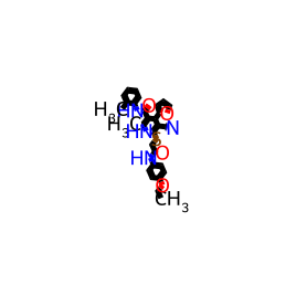 CCOc1ccc(NC(=O)CSC2=C(C#N)C(c3ccco3)C(C(=O)Nc3ccccc3C)=C(C)N2)cc1